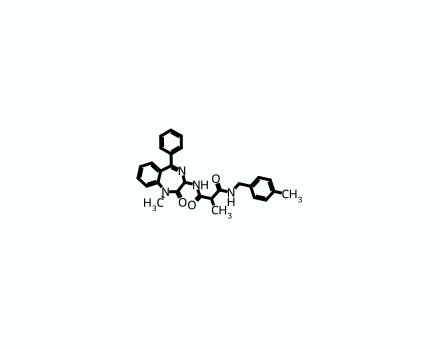 Cc1ccc(CNC(=O)C(C)C(=O)NC2N=C(c3ccccc3)c3ccccc3N(C)C2=O)cc1